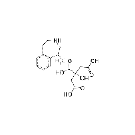 CC1CNCCc2ccccc21.O=C(O)CC(O)(CC(=O)O)C(=O)O